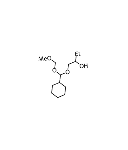 CCC(O)COC(OCOC)C1CCCCC1